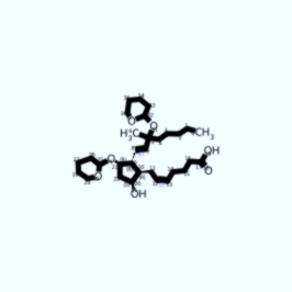 CCCCCC(C)(/C=C/[C@@H]1[C@@H](C/C=C\CCCC(=O)O)[C@@H](O)C[C@H]1OC1CCCCO1)OC1CCCCO1